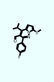 CSc1ccc2c(C(C)C)c(C=O)c(-c3ccc(F)cc3)nn12